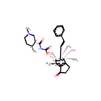 C[C@@H]1CCC23CCC(=O)C2[C@]1(C)[C@H](OC(=O)NC(=O)[C@H]1CN(C)CC[C@@H]1C)C[C@@](C)(C=Cc1ccccc1)[C@@H](O)[C@@H]3C